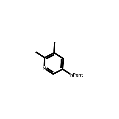 CCCCCc1cnc(C)c(C)c1